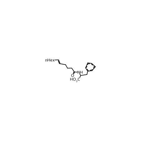 CCCCCCC=CCCCC(=O)NC(Cc1ccccc1)C(=O)O